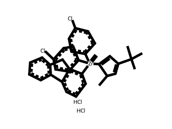 Cl.Cl.[CH2]=[Zr]([C]1=CC(C(C)(C)C)=CC1C)([c]1ccc(Cl)cc1)([c]1ccc(Cl)cc1)[c]1cccc2c1Cc1ccccc1-2